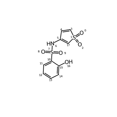 O=S1(=O)C=CC(NS(=O)(=O)c2ccccc2O)=C1